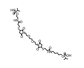 CC(C)P(=O)(O)OCCCCCNC(=O)CCSC1CC(=O)N(CCOCCOCCN2C(=O)CC(SCCC(=O)NCCOP(=O)(O)C(C)C)C2=O)C1=O